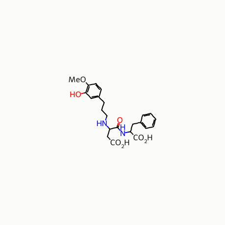 COc1ccc(CCCNC(CC(=O)O)C(=O)NC(Cc2ccccc2)C(=O)O)cc1O